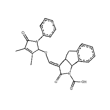 CC1=C(C)C(OC=C2C(=O)N(C(=O)O)C3c4ccccc4CC23)N(c2ccccc2)C1=O